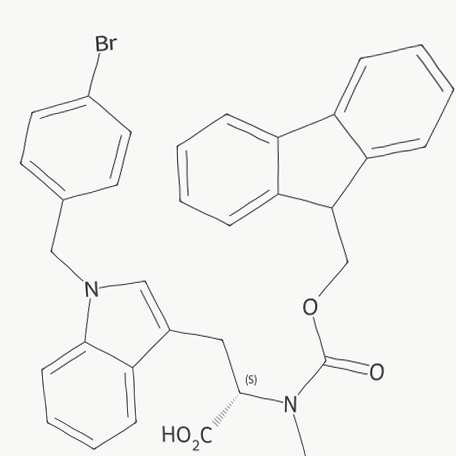 CN(C(=O)OCC1c2ccccc2-c2ccccc21)[C@@H](Cc1cn(Cc2ccc(Br)cc2)c2ccccc12)C(=O)O